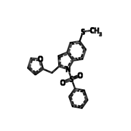 CSc1ccc2c(c1)cc(Cc1ccco1)n2S(=O)(=O)c1ccccc1